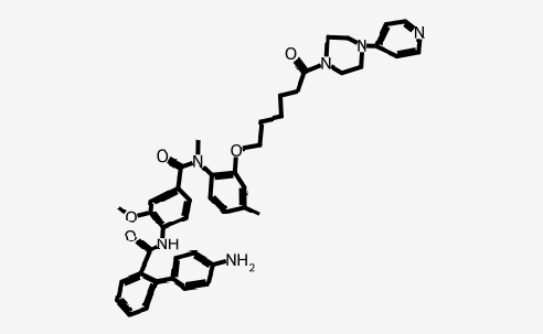 COc1cc(C(=O)N(C)c2ccc(C)cc2OCCCCCC(=O)N2CCN(c3ccncc3)CC2)ccc1NC(=O)c1ccccc1-c1ccc(N)cc1